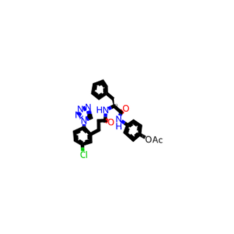 CC(=O)Oc1ccc(NC(=O)[C@H](Cc2ccccc2)NC(=O)CCc2cc(Cl)ccc2-n2cnnn2)cc1